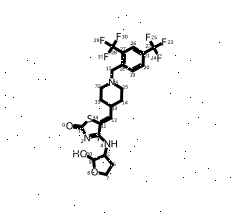 O=C1N=C(NC2CCOC2O)C(=CC2CCN(Cc3ccc(C(F)(F)F)cc3C(F)(F)F)CC2)S1